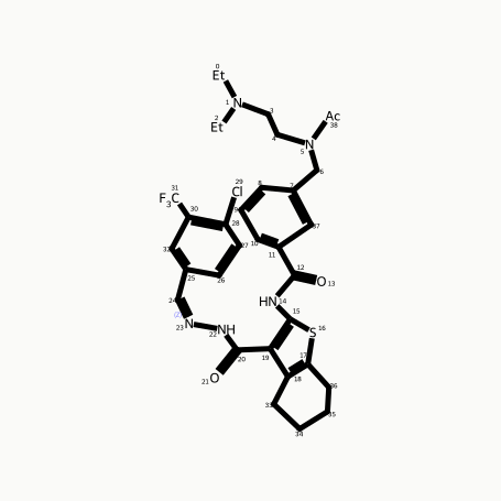 CCN(CC)CCN(Cc1cccc(C(=O)Nc2sc3c(c2C(=O)N/N=C\c2ccc(Cl)c(C(F)(F)F)c2)CCCC3)c1)C(C)=O